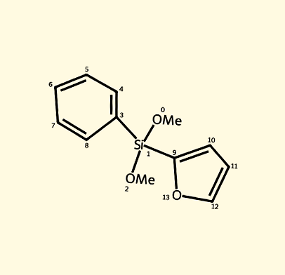 CO[Si](OC)(c1ccccc1)c1ccco1